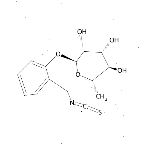 C[C@@H]1O[C@@H](Oc2ccccc2CN=C=S)[C@H](O)[C@H](O)[C@H]1O